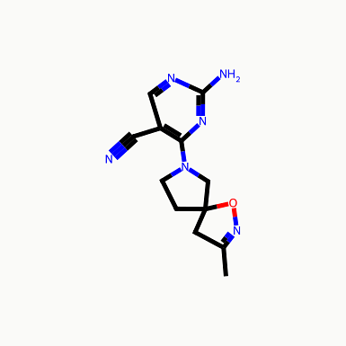 CC1=NOC2(CCN(c3nc(N)ncc3C#N)C2)C1